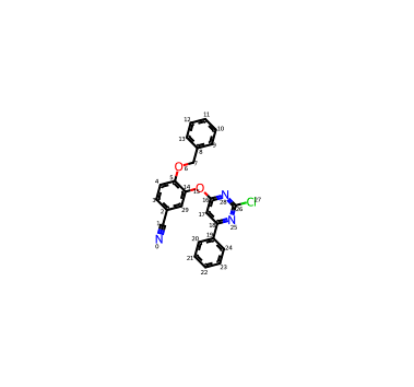 N#Cc1ccc(OCc2ccccc2)c(Oc2cc(-c3ccccc3)nc(Cl)n2)c1